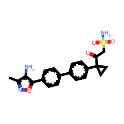 Cc1noc(-c2ccc(-c3ccc(C4(C(=O)CS(N)(=O)=O)CC4)cc3)cc2)c1N